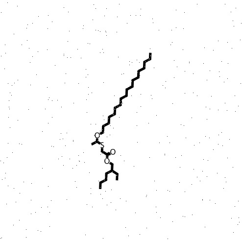 CCCCCCCCCCCCCCCCCCOC(C)SCC(=O)OCC(CC)CCCC